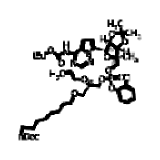 C=CCO[C@H](COCCCCCCCCCCCCCCCCCC)COP(=O)(OC[C@@]1(C)O[C@@H](c2ccc3c(NC(=O)OC(C)(C)C)ncnn23)[C@@H]2OC(C)(C)O[C@@H]21)Oc1ccccc1Cl